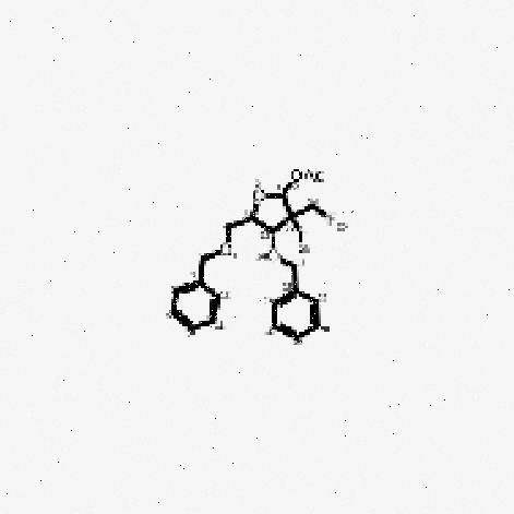 CC(=O)OC1OC(COCc2ccccc2)[C@H](OCc2ccccc2)C1(F)CF